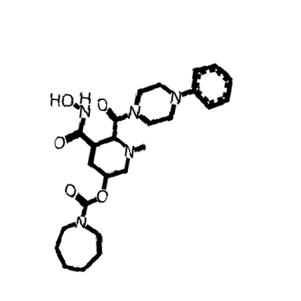 CN1CC(OC(=O)N2CCCCCC2)CC(C(=O)NO)C1C(=O)N1CCN(c2ccccc2)CC1